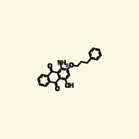 Nc1c(OCCCc2ccccc2)cc(O)c2c1C(=O)c1ccccc1C2=O